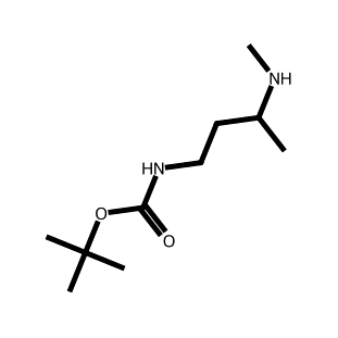 CNC(C)CCNC(=O)OC(C)(C)C